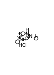 CN1CC[C@@H](NC(=O)NCc2ccccc2)C[C@@H]1c1nc2ccccc2[nH]1.Cl